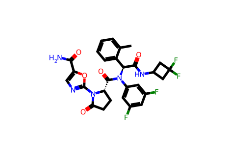 Cc1ccccc1[C@@H](C(=O)NC1CC(F)(F)C1)N(C(=O)[C@@H]1CCC(=O)N1c1ncc(C(N)=O)o1)c1cc(F)cc(F)c1